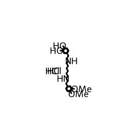 COc1ccc(CCNCCCCCCNCCc2ccc(O)c(O)c2)cc1OC.Cl.Cl